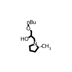 CCCCOCC(O)CN1CCC[C@H]1C